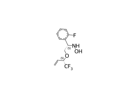 C=C[C@H](OC[C@@H](NO)c1ccccc1F)C(F)(F)F